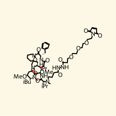 CC[C@H](C)[C@@H]([C@@H](CC(=O)N1CCC[C@H]1[C@H](OC)[C@@H](C)C(=O)N[C@@H](Cc1ccccc1)C(=O)N1CCCCO1)OC)N(C)C(=O)[C@@H](NC(=O)[C@H](C(C)C)N(C)CCCC(=O)NNC(=O)CCOCCOCCOCCN1C(=O)C=CC1=O)C(C)C